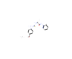 COC(=O)c1ccc(NC(=S)NC(C(=O)Nc2ccccc2C)C(C)(C)C)cc1